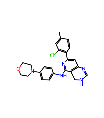 Cc1ccc(-c2cc3c(c(Nc4ccc(N5CCOCC5)cc4)n2)CNC=N3)c(Cl)c1